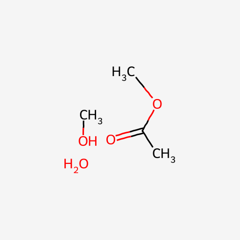 CO.COC(C)=O.O